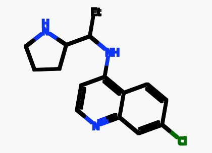 CCC(Nc1ccnc2cc(Cl)ccc12)C1CCCN1